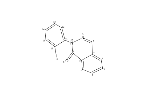 O=c1c2ccccc2cnn1-c1ccccc1I